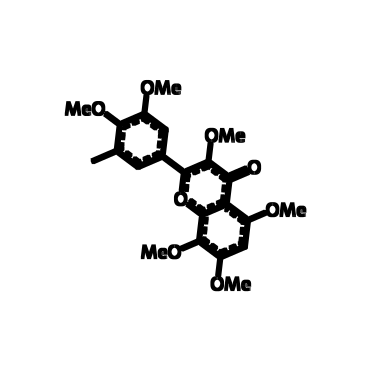 COc1cc(-c2oc3c(OC)c(OC)cc(OC)c3c(=O)c2OC)cc(C)c1OC